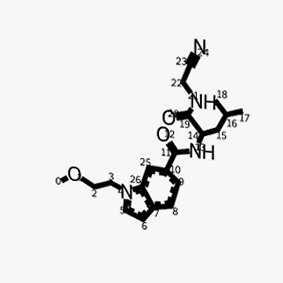 COCCn1ccc2ccc(C(=O)NC(CC(C)C)C(=O)NCC#N)cc21